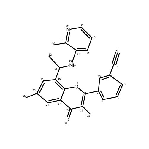 C#Cc1cccc(-c2oc3c(C(C)Nc4cccnc4C)cc(C)cc3c(=O)c2C)c1